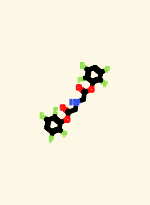 O=C(CNCC(=O)Oc1c(F)c(F)cc(F)c1F)Oc1c(F)c(F)cc(F)c1F